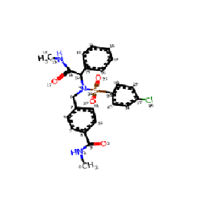 CNC(=O)c1ccc(CN(C(C(=O)NC)c2ccccc2)S(=O)(=O)c2ccc(Cl)cc2)cc1